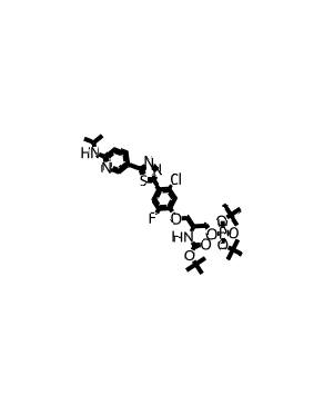 CC(C)Nc1ccc(-c2nnc(-c3cc(F)c(OCC(COP(=O)(OC(C)(C)C)OC(C)(C)C)NC(=O)OC(C)(C)C)cc3Cl)s2)cn1